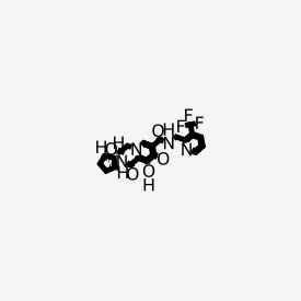 O=C(NCc1ncccc1C(F)(F)F)c1cn2c(c(O)c1=O)C(=O)N1[C@@H]3CC[C@@H](C3)O[C@H]1C2